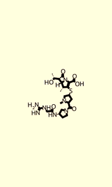 C[C@@H](O)[C@H]1C(=O)N2C(C(=O)O)=C(S[C@H]3CC(C(=O)N4CC[C@H](NC(=O)CNC(=N)N)C4)N(C)C3)[C@H](C)[C@H]12